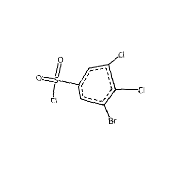 O=S(=O)(Cl)c1cc(Cl)c(Cl)c(Br)c1